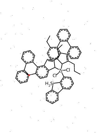 CCCC1=Cc2c(ccc(CC)c2-c2ccccc2-c2ccccc2)[CH]1[Zr]([Cl])([Cl])([c]1cccc2c1[SiH2]c1ccccc1-2)[CH]1C(CCC)=Cc2c1ccc(CC)c2-c1ccccc1-c1ccccc1